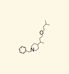 CC(C)CCOCCC(C)C1CCN(Cc2ccccc2)CC1